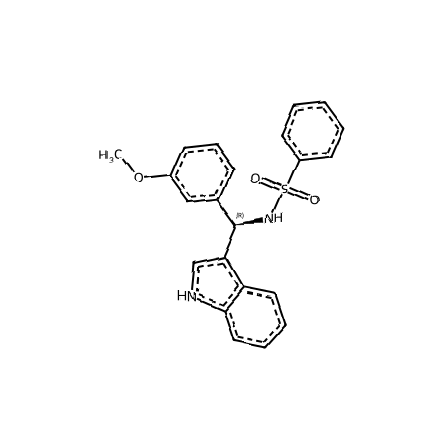 COc1cccc([C@@H](NS(=O)(=O)c2ccccc2)c2c[nH]c3ccccc23)c1